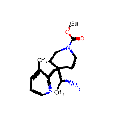 Cc1cccnc1C1(C(C)N)CCN(C(=O)OC(C)(C)C)CC1